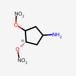 NC1CC(O[N+](=O)[O-])[C@@H](O[N+](=O)[O-])C1